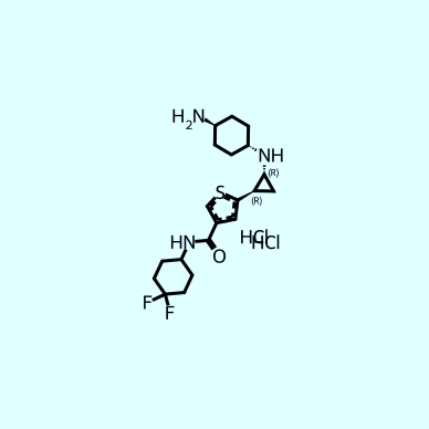 Cl.Cl.N[C@H]1CC[C@H](N[C@@H]2C[C@H]2c2cc(C(=O)NC3CCC(F)(F)CC3)cs2)CC1